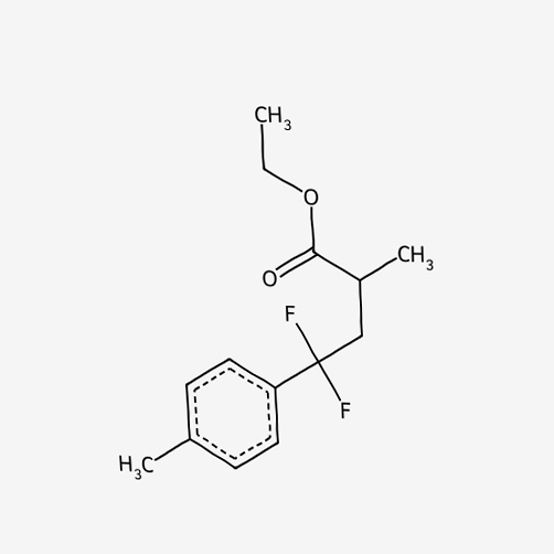 CCOC(=O)C(C)CC(F)(F)c1ccc(C)cc1